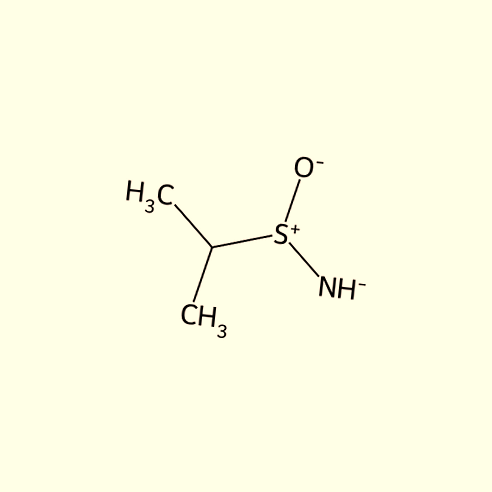 CC(C)[S+]([NH-])[O-]